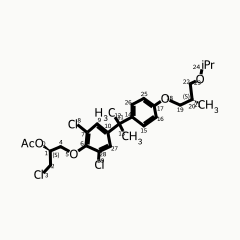 CC(=O)O[C@H](CCl)COc1c(Cl)cc(C(C)(C)c2ccc(OC[C@@H](C)COC(C)C)cc2)cc1Cl